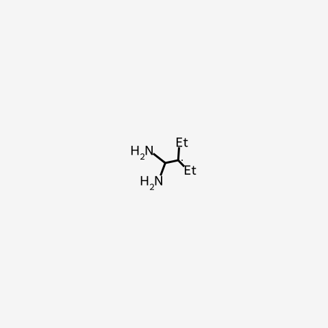 CC[C](CC)C(N)N